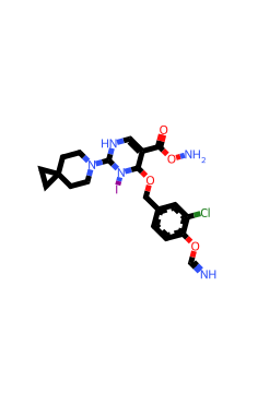 N=COc1ccc(COC2C(C(=O)ON)=CNC(N3CCC4(CC3)CC4)N2I)cc1Cl